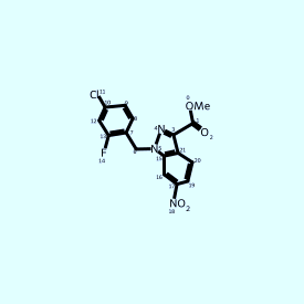 COC(=O)c1nn(Cc2ccc(Cl)cc2F)c2cc([N+](=O)[O-])ccc12